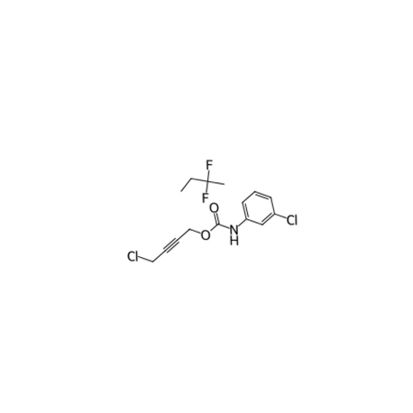 CCC(C)(F)F.O=C(Nc1cccc(Cl)c1)OCC#CCCl